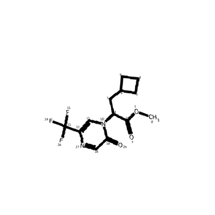 COC(=O)C(CC1CCC1)n1cc(C(F)(F)F)ncc1=O